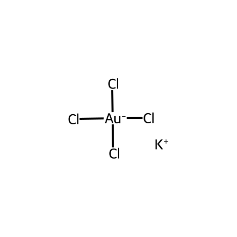 [Cl][Au-]([Cl])([Cl])[Cl].[K+]